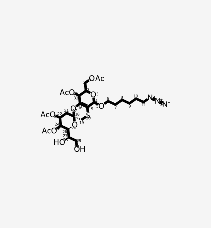 CC(=O)OCC1OC(OCCCCCCN=[N+]=[N-])C2=C(O[C@]3(CS2)CC(OC(C)=O)C(OC(C)=O)[C@@H]([C@H](O)CO)O3)C1OC(C)=O